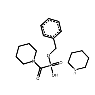 C1CCNCC1.O=C(N1CCCCC1)P(=O)(O)OCc1ccccc1